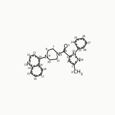 Cc1cc(C(=O)N2CCN(c3ccnc4ccccc34)CC2)n(-c2ccccc2)n1